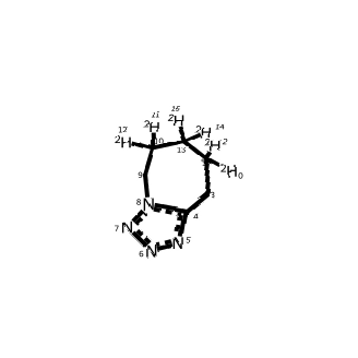 [2H]C1([2H])Cc2nnnn2CC([2H])([2H])C1([2H])[2H]